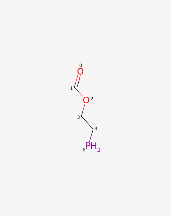 O=COCCP